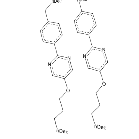 CCCCCCCCCCCCCOc1cnc(-c2ccc(CCCCCCCCCC)cc2)nc1.CCCCCCCCCCCCCOc1cnc(-c2ccc(CCCCCCCCCCC)cc2)nc1